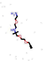 C#CCOCCOCC(C)(C)NCCOCCN